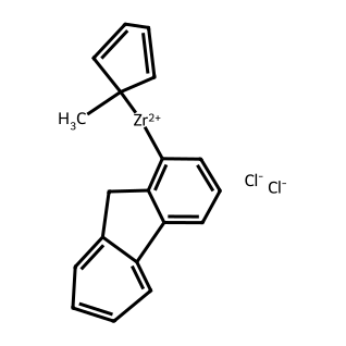 C[C]1([Zr+2][c]2cccc3c2Cc2ccccc2-3)C=CC=C1.[Cl-].[Cl-]